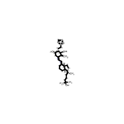 C=C1/C(=C\C=C2/CCC[C@]3(C)[C@@H]([C@H](C)CCCC(C)(C)O)CC[C@@H]23)C[C@@H](O)[C@H](CCn2ncnn2)C1O